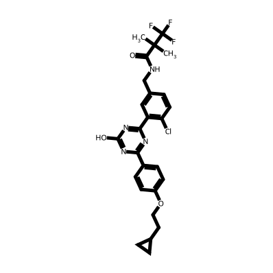 CC(C)(C(=O)NCc1ccc(Cl)c(-c2nc(O)nc(-c3ccc(OCCC4CC4)cc3)n2)c1)C(F)(F)F